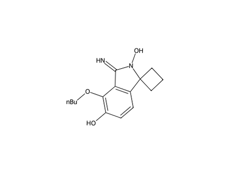 CCCCOc1c(O)ccc2c1C(=N)N(O)C21CCC1